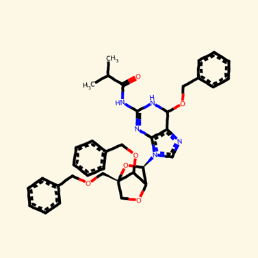 CC(C)C(=O)NC1=Nc2c(ncn2[C@@H]2O[C@@]3(COCc4ccccc4)COC2C3OCc2ccccc2)C(OCc2ccccc2)N1